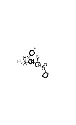 N#CC1CN(C(=O)OCc2ccccc2)CCC1n1cc(C(N)=O)c(Nc2ccc(F)cc2)n1